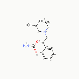 CCN(CC(C)C)CC(OC(N)=O)c1ccccc1